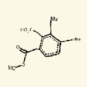 CC(C)(C)c1ccc(C(=O)OO)c(C(=O)O)c1C(C)(C)C